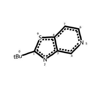 CC(C)(C)c1nc2cnccc2s1